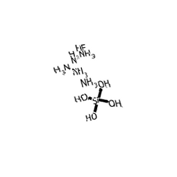 F.N.N.N.N.N.O[Si](O)(O)O